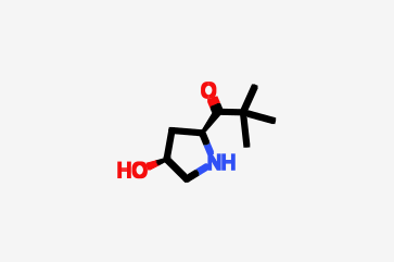 CC(C)(C)C(=O)[C@@H]1C[C@H](O)CN1